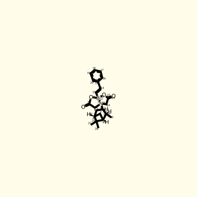 C[C@@H]1[C@H]2C[C@@H](C[C@H]1[N+]13CC(=O)O[B-]1(/C=C/c1ccccc1)OC(=O)C3)C2(C)C